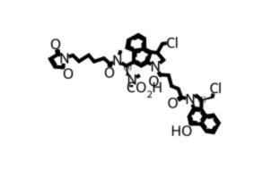 CN(C[C@H](c1cc2c(c3ccccc13)C(CCl)CN2C(=O)CCCC(=O)N1C[C@@H](CCl)c2c1cc(O)c1ccccc21)N(C)C(=O)CCCCCN1C(=O)C=CC1=O)C(=O)O